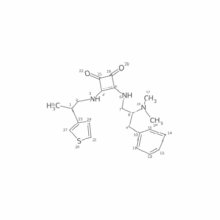 CC(CNc1c(NCC(Cc2ccccc2)N(C)C)c(=O)c1=O)c1ccsc1